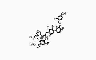 CC1(C)COCC1n1c(Cc2c(F)cc(-c3ccc(F)c(OCc4ccc(C#N)cc4F)n3)c(F)c2F)nc2c(F)cc(C(=O)O)cc21